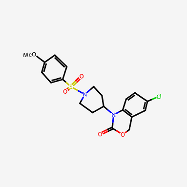 COc1ccc(S(=O)(=O)N2CCC(N3C(=O)OCc4cc(Cl)ccc43)CC2)cc1